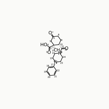 C[C@]1(C(=O)O)CC(=O)CC[C@@H]1C(=O)N1CCN(c2ccccc2)CC1